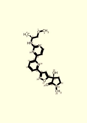 COC[C@H](C)Nc1nccc(-c2cccc(-c3cc([C@]4(O)CCN(C)C4=O)on3)n2)n1